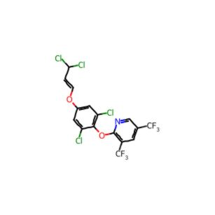 FC(F)(F)c1cnc(Oc2c(Cl)cc(OC=CC(Cl)Cl)cc2Cl)c(C(F)(F)F)c1